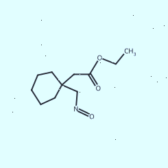 CCOC(=O)CC1(CN=O)CCCCC1